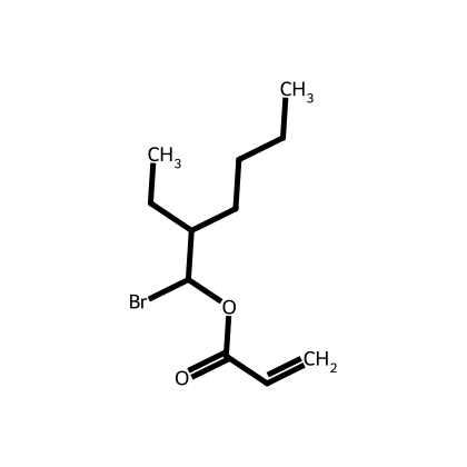 C=CC(=O)OC(Br)C(CC)CCCC